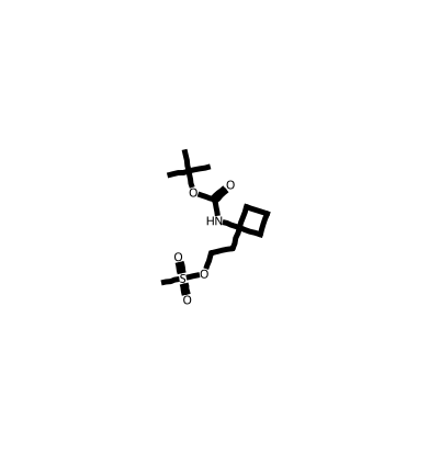 CC(C)(C)OC(=O)NC1(CCOS(C)(=O)=O)CCC1